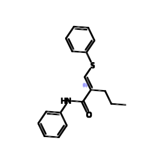 CCC/C(=C\Sc1ccccc1)C(=O)Nc1ccccc1